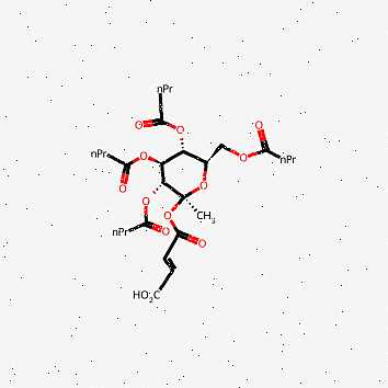 CCCC(=O)OC[C@H]1O[C@@](C)(OC(=O)/C=C/C(=O)O)[C@H](OC(=O)CCC)[C@@H](OC(=O)CCC)[C@@H]1OC(=O)CCC